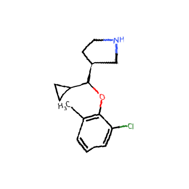 Cc1cccc(Cl)c1OC(C1CC1)[C@H]1CCNC1